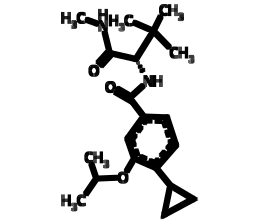 CNC(=O)[C@@H](NC(=O)c1ccc(C2CC2)c(OC(C)C)c1)C(C)(C)C